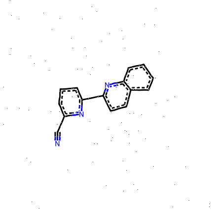 N#Cc1cccc(-c2ccc3c[c]ccc3n2)n1